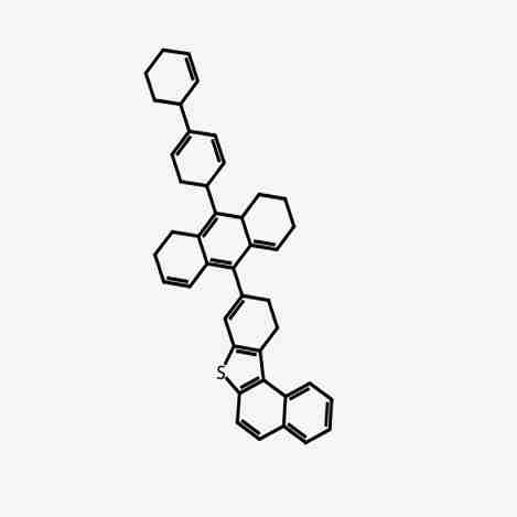 C1=CC(C2=CCC(C3=C4CCC=CC4=C(C4=Cc5sc6ccc7ccccc7c6c5CC4)C4=CCCCC43)C=C2)CCC1